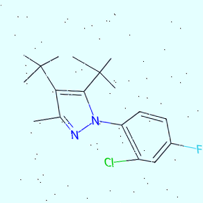 Cc1nn(-c2ccc(F)cc2Cl)c(C(C)(C)C)c1C(C)(C)C